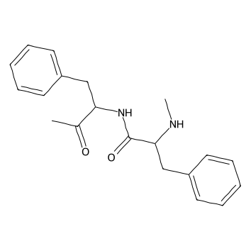 CNC(Cc1ccccc1)C(=O)NC(Cc1ccccc1)C(C)=O